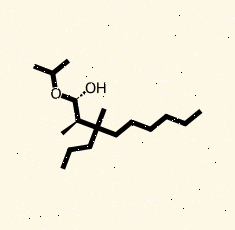 CCCCCCC(C)(CCC)[C@@H](C)[C@@H](O)OC(C)C